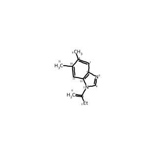 C=C(CC)n1cnc2cc(C)c(C)cc21